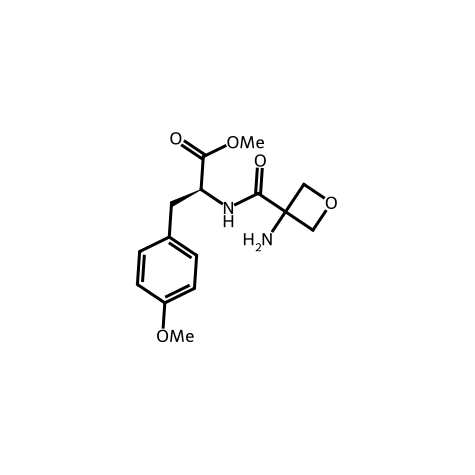 COC(=O)[C@H](Cc1ccc(OC)cc1)NC(=O)C1(N)COC1